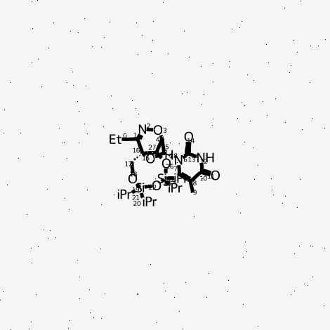 CCC1=NOC2[C@H](n3cc(C)c(=O)[nH]c3=O)O[C@@]13CO[Si](C(C)C)(C(C)C)O[Si](C(C)C)(C(C)C)O[C@H]23